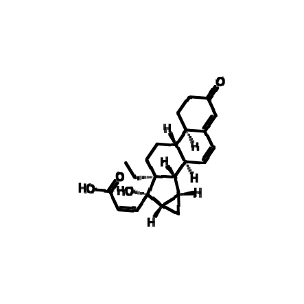 CC[C@]12CC[C@H]3[C@@H](C=CC4=CC(=O)CC[C@@H]43)[C@@H]1[C@@H]1C[C@@H]1[C@@]2(O)/C=C\C(=O)O